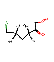 [2H]C([2H])(CBr)CC([2H])([2H])C(=O)CO